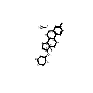 Cc1ccc2c(c1)[C@@H](CO)CC1C2CC[C@@]2(C)C1CC[C@@H]2OC1CCCCO1